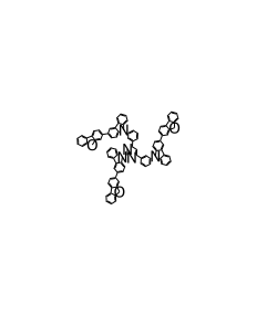 c1cc(-c2cc(-c3cccc(-n4c5ccccc5c5cc(-c6ccc7c(c6)oc6ccccc67)ccc54)c3)nc(-n3c4ccccc4c4cc(-c5ccc6c(c5)oc5ccccc56)ccc43)n2)cc(-n2c3ccccc3c3cc(-c4ccc5c(c4)oc4ccccc45)ccc32)c1